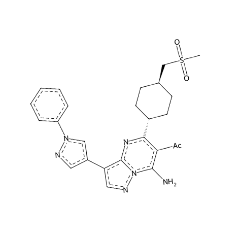 CC(=O)c1c(N)n2ncc(-c3cnn(-c4ccccc4)c3)c2nc1[C@H]1CC[C@H](CS(C)(=O)=O)CC1